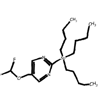 CCC[CH2][Sn]([CH2]CCC)([CH2]CCC)[c]1ncc(OC(F)F)cn1